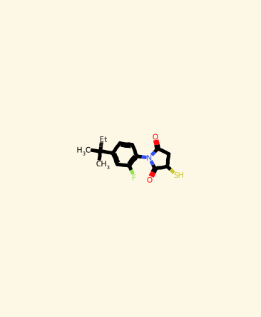 CCC(C)(C)c1ccc(N2C(=O)CC(S)C2=O)c(F)c1